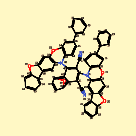 N#Cc1c(N2c3ccc(-c4ccccc4)cc3Oc3cc4oc5ccccc5c4cc32)c(C#N)c2c3ccc(o3)c2c1N1c2ccc(-c3ccccc3)cc2Oc2cc3oc4ccccc4c3cc21